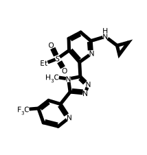 CCS(=O)(=O)c1ccc(NC2CC2)nc1-c1nnc(-c2cc(C(F)(F)F)ccn2)n1C